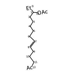 CCC(CCCCC/C=C/CCCC(C)=O)OC(C)=O